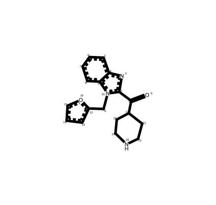 O=C(c1nc2ccccc2n1Cc1ccco1)C1CCNCC1